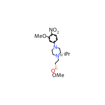 COOSCCN1CCN(c2ccc([N+](=O)[O-])c(OC)c2)C[C@@H]1C(C)C